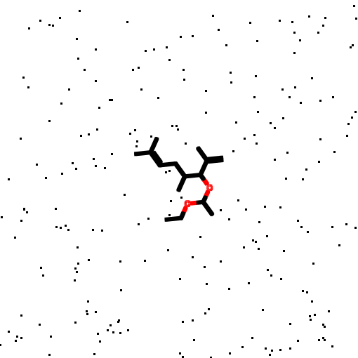 C=C(C)C(OC(C)OCC)C(C)CC=C(C)C